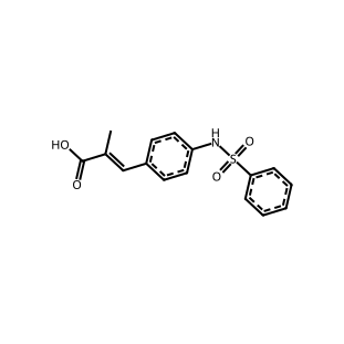 C/C(=C\c1ccc(NS(=O)(=O)c2ccccc2)cc1)C(=O)O